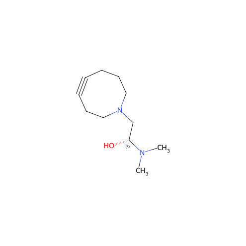 CN(C)[C@H](O)CN1CCC#CCCC1